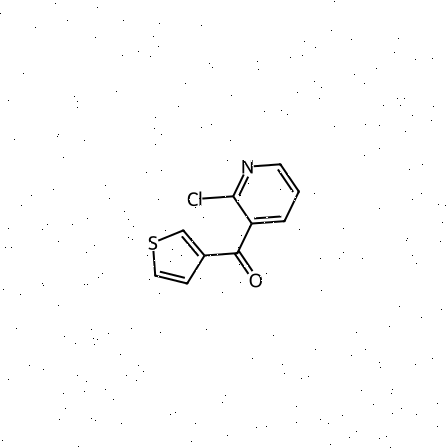 O=C(c1ccsc1)c1cccnc1Cl